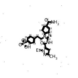 CCn1nc(C)cc1C(=O)Nc1nc2cc(C(N)=O)ccc2n1CCc1ccc(P(=O)(O)O)cc1